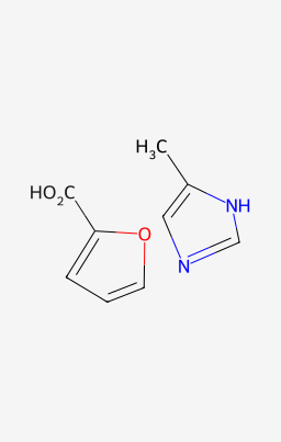 Cc1cnc[nH]1.O=C(O)c1ccco1